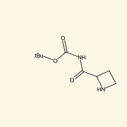 CC(C)(C)OC(=O)NC(=O)C1CCN1